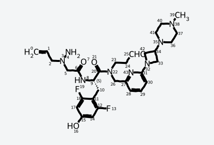 C=CCN(N)CC(=O)N[C@@H](Cc1c(F)cc(O)cc1F)C(=O)N(CCC=O)Cc1cccc(N2CC(N3CCN(C)CC3)C2)n1